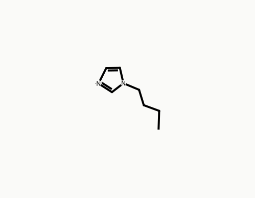 CCCCN1C=C[N+]=C1